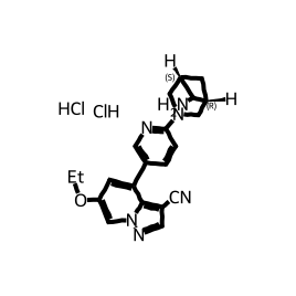 CCOc1cc(-c2ccc(N3C[C@H]4C[C@@H](C3)C4N)nc2)c2c(C#N)cnn2c1.Cl.Cl